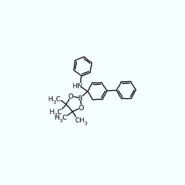 CC1(C)OB(C2(Nc3ccccc3)C=CC(c3ccccc3)=CC2)OC1(C)C